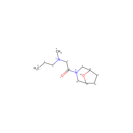 CCCN(C)CC(=O)N1CC2CCC(C1)O2